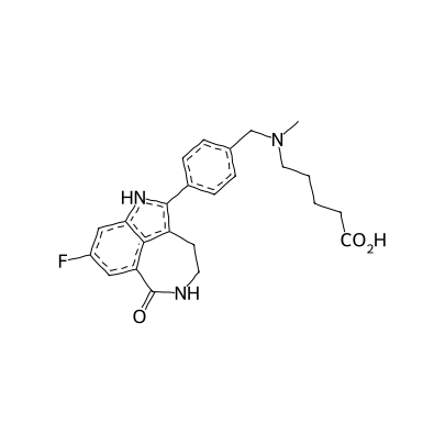 CN(CCCCC(=O)O)Cc1ccc(-c2[nH]c3cc(F)cc4c3c2CCNC4=O)cc1